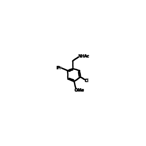 COc1cc(C(C)C)c(CNC(C)=O)cc1Cl